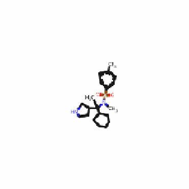 CN(C(C)(C1CCCCC1)C1CCNC1)S(=O)(=O)c1ccc(C(F)(F)F)cc1